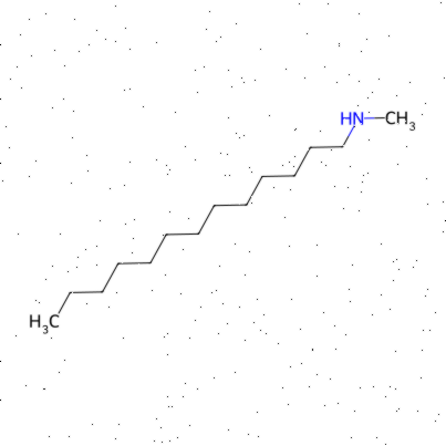 CCCCCCCCCCCCCNC